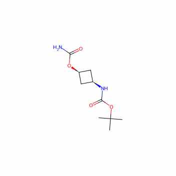 CC(C)(C)OC(=O)N[C@H]1C[C@@H](OC(N)=O)C1